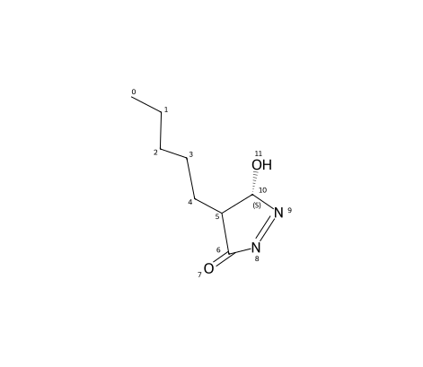 CCCCCC1C(=O)N=N[C@H]1O